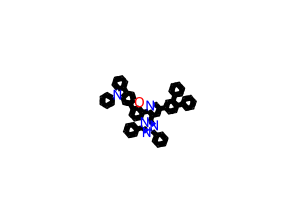 c1ccc(-c2nc(-c3ccccc3)nc(-c3cc(-c4ccc(-c5ccccc5)c(-c5ccccc5)c4)cnc3-c3cccc4c3oc3cc5c6ccccc6n(-c6ccccc6)c5cc34)n2)cc1